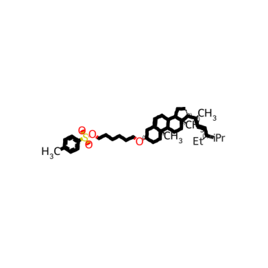 CC[C@H](C=C[C@@H](C)[C@H]1CCC2C3CC=C4C[C@@H](OCCCCCCOS(=O)(=O)c5ccc(C)cc5)CC[C@]4(C)C3CC[C@@]21C)C(C)C